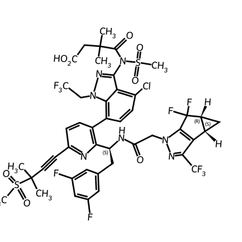 CC(C)(CC(=O)O)C(=O)N(c1nn(CC(F)(F)F)c2c(-c3ccc(C#CC(C)(C)S(C)(=O)=O)nc3[C@H](Cc3cc(F)cc(F)c3)NC(=O)Cn3nc(C(F)(F)F)c4c3C(F)(F)[C@@H]3C[C@H]43)ccc(Cl)c12)S(C)(=O)=O